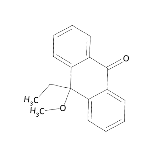 CCC1(OC)c2ccccc2C(=O)c2ccccc21